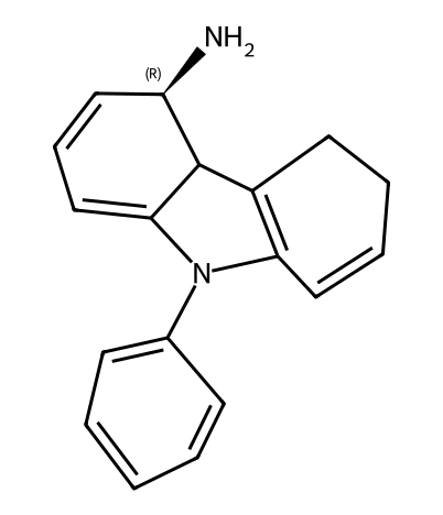 N[C@@H]1C=CC=C2C1C1=C(C=CCC1)N2c1ccccc1